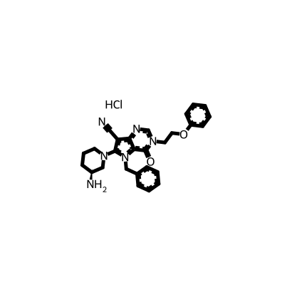 Cl.N#Cc1c(N2CCC[C@H](N)C2)n(Cc2ccccc2)c2c(=O)n(CCOc3ccccc3)cnc12